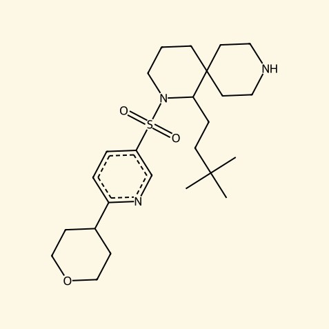 CC(C)(C)CCC1N(S(=O)(=O)c2ccc(C3CCOCC3)nc2)CCCC12CCNCC2